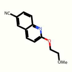 COCCOc1ccc2cc(C#N)ccc2n1